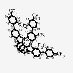 N#Cc1cc(-n2c3ccccc3c3ccc(-c4ccc(C(F)(F)F)cc4C(F)(F)F)cc32)c(-n2c3ccccc3c3ccc(-c4ccc(C(F)(F)F)cc4C(F)(F)F)cc32)cc1-c1ccc(C(F)(F)F)cc1C(F)(F)F